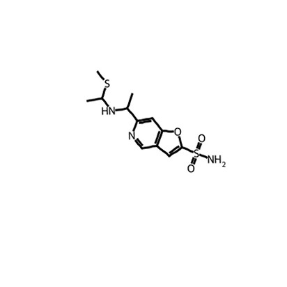 CSC(C)NC(C)c1cc2oc(S(N)(=O)=O)cc2cn1